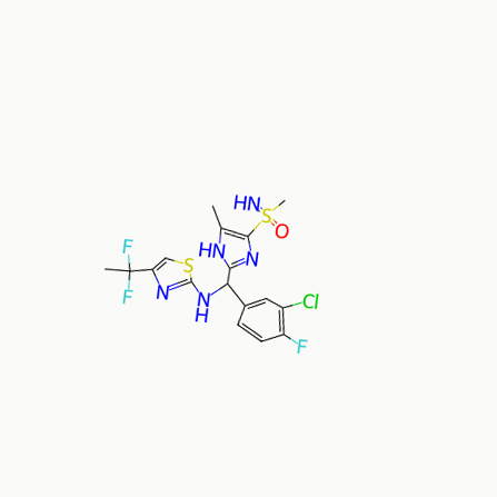 Cc1[nH]c(C(Nc2nc(C(C)(F)F)cs2)c2ccc(F)c(Cl)c2)nc1S(C)(=N)=O